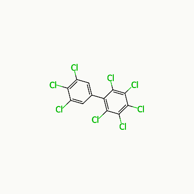 Clc1cc(-c2c(Cl)c(Cl)c(Cl)c(Cl)c2Cl)cc(Cl)c1Cl